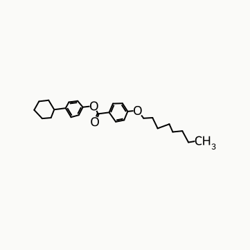 CCCCCCCCOc1ccc(C(=O)Oc2ccc(C3CCCCC3)cc2)cc1